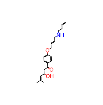 C=CCCNCC=CCOc1ccc(C(=O)CC(O)C=C(C)C)cc1